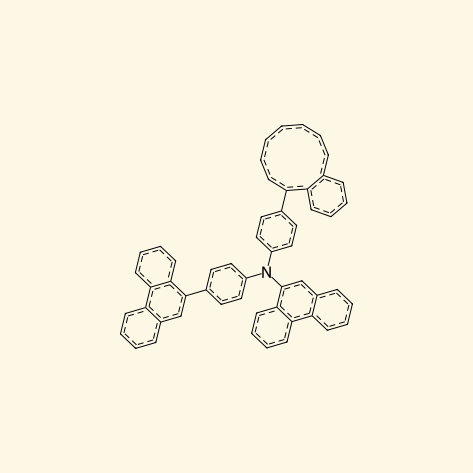 c1cccc(-c2ccc(N(c3ccc(-c4cc5ccccc5c5ccccc45)cc3)c3cc4ccccc4c4ccccc34)cc2)c2ccccc2ccc1